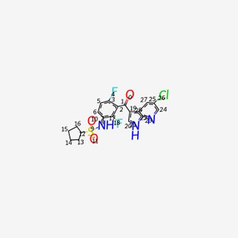 O=C(c1c(F)ccc(NS(=O)(=O)C2CCCC2)c1F)c1c[nH]c2ncc(Cl)cc12